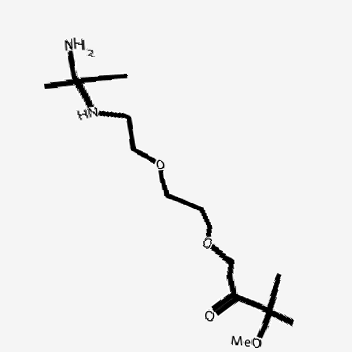 COC(C)(C)C(=O)COCCOCCNC(C)(C)N